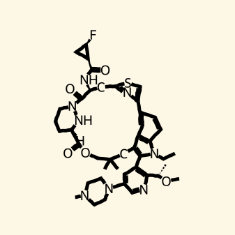 CCn1c(-c2cc(N3CCN(C)CC3)cnc2[C@H](C)OC)c2c3cc(ccc31)-c1csc(n1)C[C@H](NC(=O)[C@H]1C[C@H]1F)C(=O)N1CCC[C@H](N1)C(=O)OCC(C)(C)C2